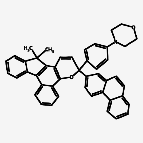 CC1(C)c2ccccc2-c2c1c1c(c3ccccc23)OC(c2ccc(N3CCOCC3)cc2)(c2ccc3c(ccc4ccccc43)c2)C=C1